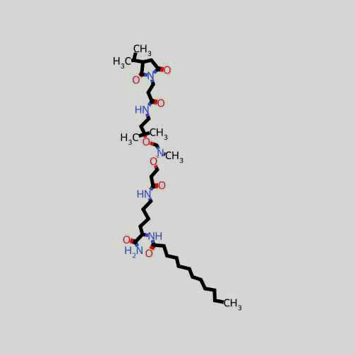 CCCCCCCCCCCC(=O)NC(CCCCNC(=O)CCON(C)COC(C)(C)CCNC(=O)CCN1C(=O)CC(C(C)C)C1=O)C(N)=O